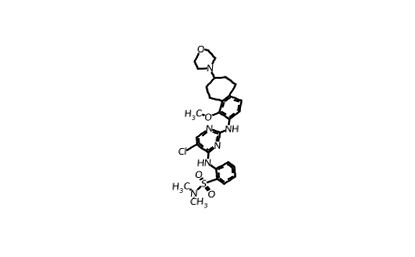 COc1c(Nc2ncc(Cl)c(Nc3ccccc3S(=O)(=O)N(C)C)n2)ccc2c1CCC(N1CCOCC1)CC2